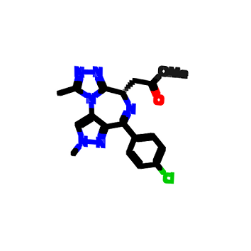 COC(=O)C[C@@H]1N=C(c2ccc(Cl)cc2)c2nn(C)cc2-n2c(C)nnc21